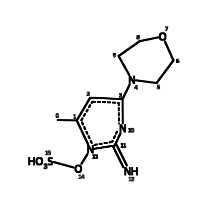 Cc1cc(N2CCOCC2)nc(=N)n1OS(=O)(=O)O